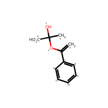 C=C(OC(C)(O)C(=O)O)c1ccccc1